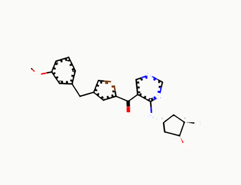 [CH2][C@@H]1C[C@@H](Nc2ncncc2C(=O)c2cc(Cc3cccc(OC)c3)cs2)C[C@@H]1O